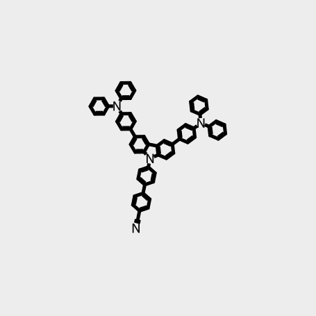 N#Cc1ccc(-c2ccc(-n3c4ccc(-c5ccc(N(c6ccccc6)c6ccccc6)cc5)cc4c4cc(-c5ccc(N(c6ccccc6)c6ccccc6)cc5)ccc43)cc2)cc1